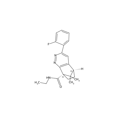 CCNC(=O)[C@]12CC[C@H](c3cc(-c4ccccc4F)nnc31)C2(C)C